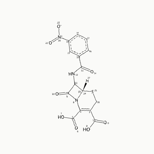 O=C(O)C1=C(C(=O)O)N2C(=O)C(NC(=O)c3cccc([N+](=O)[O-])c3)[C@@H]2SC1